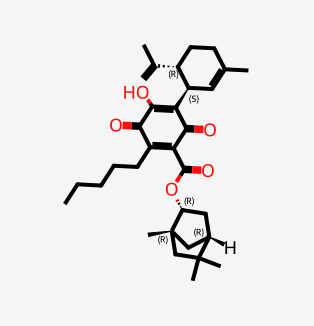 C=C(C)[C@@H]1CCC(C)=C[C@H]1C1=C(O)C(=O)C(CCCCC)=C(C(=O)O[C@@H]2C[C@H]3C[C@]2(C)CC3(C)C)C1=O